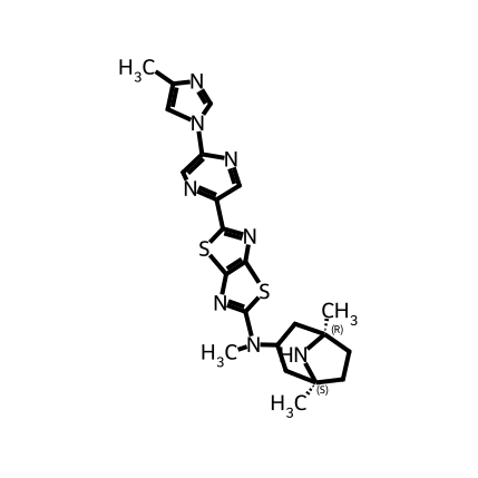 Cc1cn(-c2cnc(-c3nc4sc(N(C)C5C[C@]6(C)CC[C@](C)(C5)N6)nc4s3)cn2)cn1